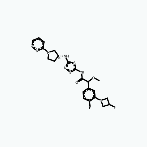 COC(C(=O)Nc1nnc(N[C@@H]2CCN(c3cccnn3)C2)s1)c1ccc(F)c(N2CC(F)C2)c1